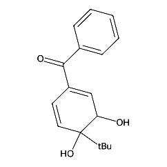 CC(C)(C)C1(O)C=CC(C(=O)c2ccccc2)=CC1O